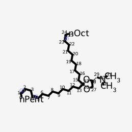 CCCCC/C=C\C/C=C\CCCCCCCCC1(CCCCCCCC/C=C\CCCCCCCC)OC[C@@H](CN(C)C)O1